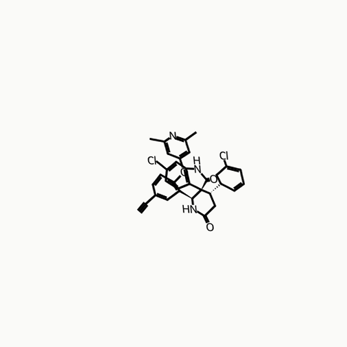 C#Cc1ccc(Oc2cc(C)nc(C)c2)c([C@@H]2NC(=O)C[C@@H](C3C=CC=C(Cl)C3)[C@]23C(=O)Nc2cc(Cl)ccc23)c1